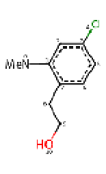 CNc1cc(Cl)ccc1CCO